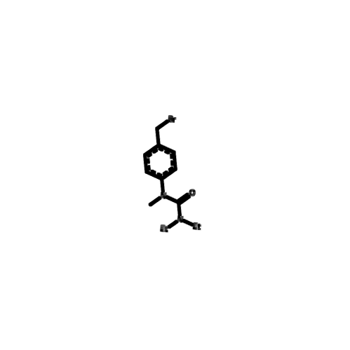 CCN(CC)C(=O)N(C)c1ccc(CBr)cc1